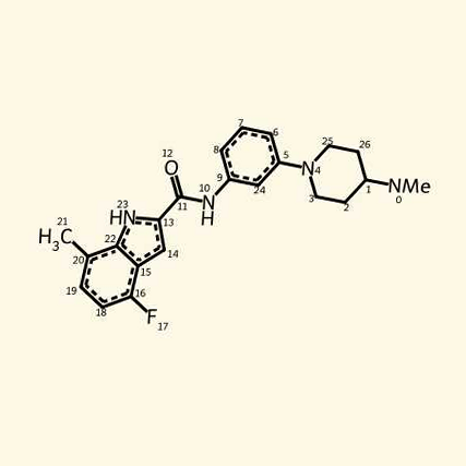 CNC1CCN(c2cccc(NC(=O)c3cc4c(F)ccc(C)c4[nH]3)c2)CC1